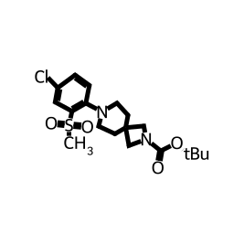 CC(C)(C)OC(=O)N1CC2(CCN(c3ccc(Cl)cc3S(C)(=O)=O)CC2)C1